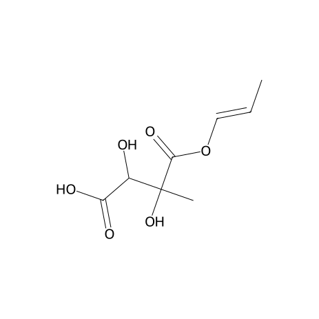 CC=COC(=O)C(C)(O)C(O)C(=O)O